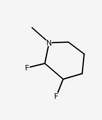 CN1CCCC(F)C1F